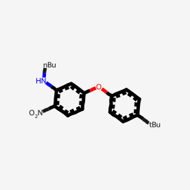 CCCCNc1cc(Oc2ccc(C(C)(C)C)cc2)ccc1[N+](=O)[O-]